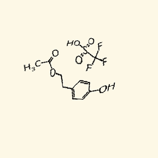 CC(=O)OCCc1ccc(O)cc1.O=S(=O)(O)C(F)(F)F